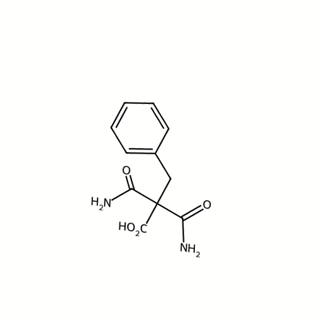 NC(=O)C(Cc1ccccc1)(C(N)=O)C(=O)O